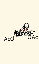 C=C=C(COC(C)=O)[C@@H]1C(C(C#N)(C#N)CC#CCOC(C)=O)=CC2CCC1N2C(=O)OC(C)(C)C